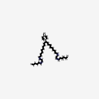 CCCCC/C=C\C/C=C\CCCCCCCCC(CCCCCCCC/C=C\C/C=C\CCCCC)N1CCN(C)CC1